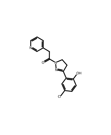 O=C(Cc1cccnc1)N1CCC(c2cc(Cl)ccc2O)=N1